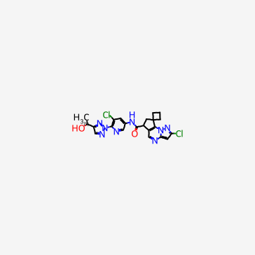 C[C@H](O)c1cnn(-c2ncc(NC(=O)C3CC4(CCC4)c4c3cnc3cc(Cl)nn43)cc2Cl)n1